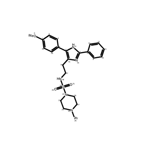 COc1ccc(-c2[nH]c(-c3ccccc3)nc2CCNS(=O)(=O)N2CCN(C(C)C)CC2)cc1